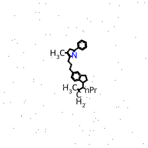 C=C(C)C(CCC)C1CCc2cc(CCCC3=C(C)CC(c4ccccc4)=N3)ccc21